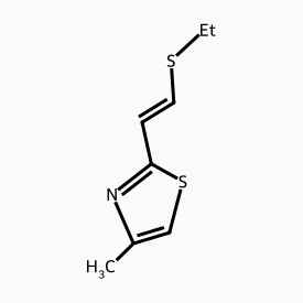 CCSC=Cc1nc(C)cs1